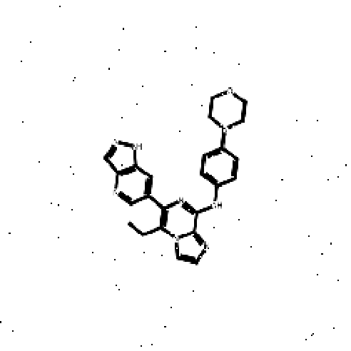 CCc1c(-c2cnc3cn[nH]c3c2)nc(Nc2ccc(N3CCOCC3)cc2)c2nccn12